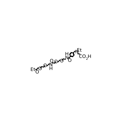 CCC(=O)COCCOCCNC(=O)COCCOCCNC(=O)c1ccc(CN(CC)CCC(=O)O)cc1